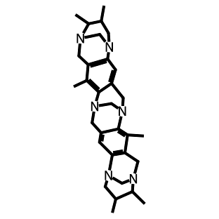 Cc1c2c(cc3c1N1Cc4cc5c(c(C)c4N(C3)C1)CN1CN5CC(C)C1C)N1CC(C)C(C)N(C2)C1